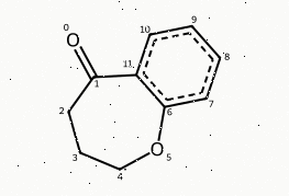 O=C1CC[CH]Oc2ccccc21